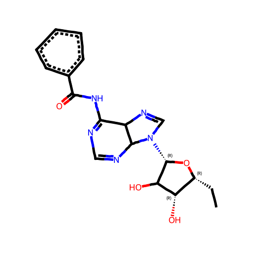 CC[C@H]1O[C@@H](N2C=NC3C(NC(=O)c4ccccc4)=NC=NC32)C(O)[C@H]1O